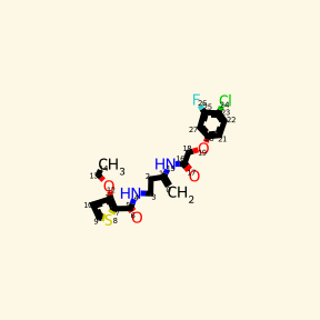 C=C(CCNC(=O)c1sccc1OCC)NC(=O)COc1ccc(Cl)c(F)c1